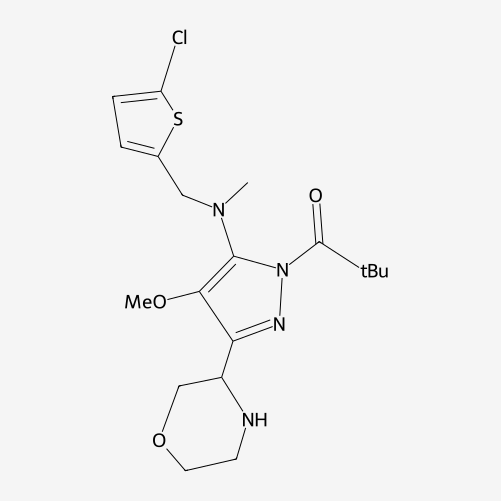 COc1c(C2COCCN2)nn(C(=O)C(C)(C)C)c1N(C)Cc1ccc(Cl)s1